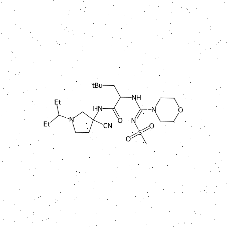 CCC(CC)N1CCC(C#N)(NC(=O)C(CC(C)(C)C)NC(=NS(C)(=O)=O)N2CCOCC2)C1